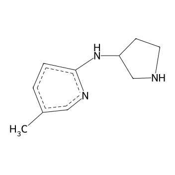 Cc1ccc(NC2CCNC2)nc1